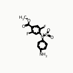 COC(=O)c1cc(F)c(N(c2ccc(N)cc2)[SH](=O)=O)cc1F